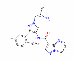 COc1ccc(Cl)cc1-c1nn(C[C@H](N)C(C)C)cc1NC(=O)c1cnn2cccnc12